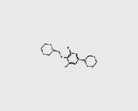 Fc1cc(N2CCCCC2)cc(F)c1CCN1CCCCC1